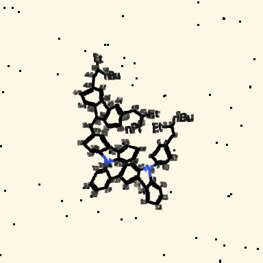 CCCCC(CC)Cc1ccc(-n2c3ccccc3c3cc(-c4ccccc4-n4c5ccccc5c5cc(CC6c7ccc(CC(CC)CCC)cc7-c7cc(CC(CC)CCCC)ccc76)ccc54)ccc32)cc1